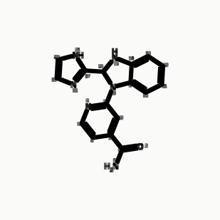 NC(=O)c1ccnc(N2c3ccccc3NC2c2ncc[nH]2)c1